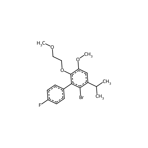 COCCOc1c(OC)cc(C(C)C)c(Br)c1-c1ccc(F)cc1